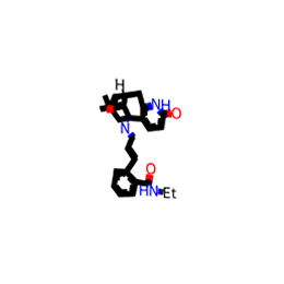 C/C=C1\[C@H]2C=C(C)C[C@]1(/N=C/C=C/c1ccccc1C(=O)NCC)c1ccc(=O)[nH]c1C2